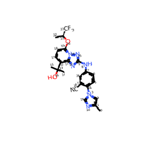 Cc1cn(-c2ccc(Nc3nc4c(C(C)(C)O)ccc(O[C@@H](C)C(F)(F)F)n4n3)cc2C#N)cn1